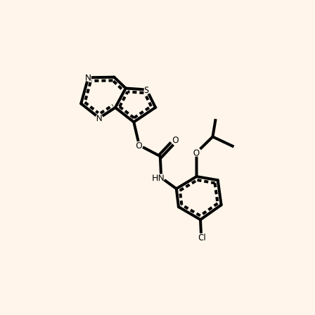 CC(C)Oc1ccc(Cl)cc1NC(=O)Oc1csc2cncnc12